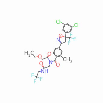 CCOCC(=O)N(CC(=O)NCC(F)(F)F)C(=O)c1ccc(C2=NOC(c3cc(Cl)cc(Cl)c3)(C(F)(F)F)C2)cc1C